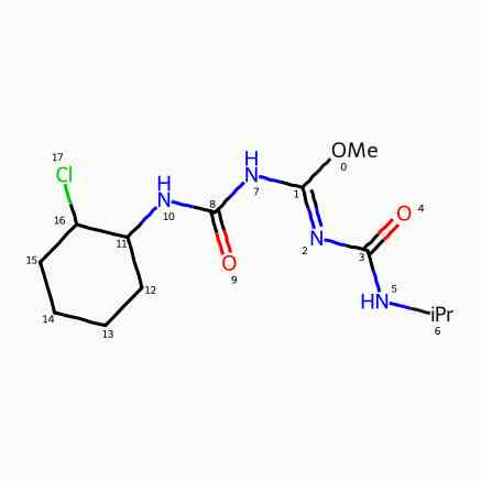 COC(=NC(=O)NC(C)C)NC(=O)NC1CCCCC1Cl